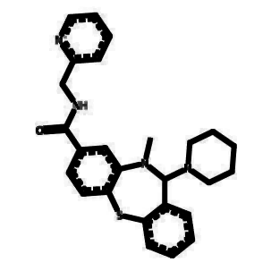 CN1c2cc(C(=O)NCc3ccccn3)ccc2Sc2ccccc2C1N1CCCCC1